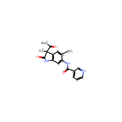 COC(=O)C1(C)C(=O)Nc2cc(NC(=O)c3cccnc3)c([N+](=O)[O-])cc21